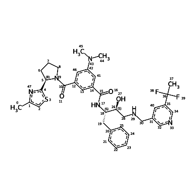 Cc1csc([C@H]2CCCN2C(=O)c2cc(C(=O)N[C@@H](Cc3ccccc3)[C@@H](O)CNCc3cncc(C(C)(F)F)c3)cc(N(C)C)c2)n1